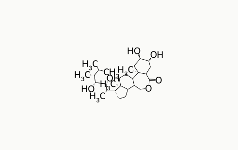 CC(C)[C@@H](C)[C@@H](O)[C@H](O)[C@@H](C)[C@H]1CCC2C3COC(=O)C4C[C@H](O)[C@H](O)C[C@]4(C)C3CC[C@@]21C